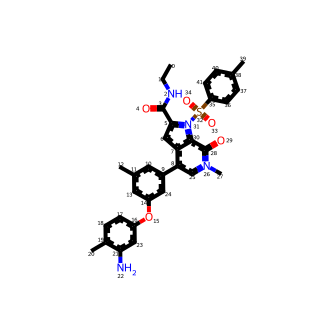 CCNC(=O)c1cc2c(-c3cc(C)cc(Oc4ccc(C)c(N)c4)c3)cn(C)c(=O)c2n1S(=O)(=O)c1ccc(C)cc1